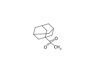 CS(=O)(=O)C12CC3CC(CC(C3)C1)C2